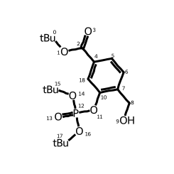 CC(C)(C)OC(=O)c1ccc(CO)c(OP(=O)(OC(C)(C)C)OC(C)(C)C)c1